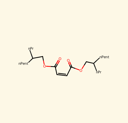 CCCCCC(CCC)COC(=O)/C=C\C(=O)OCC(CCC)CCCCC